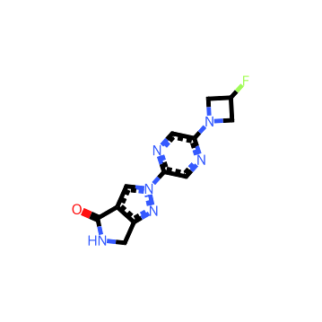 O=C1NCc2nn(-c3cnc(N4CC(F)C4)cn3)cc21